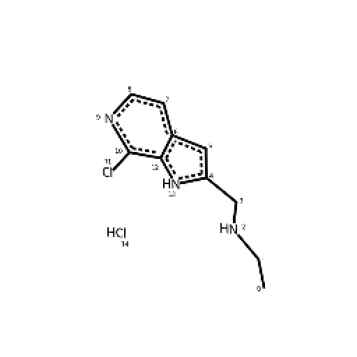 CCNCc1cc2ccnc(Cl)c2[nH]1.Cl